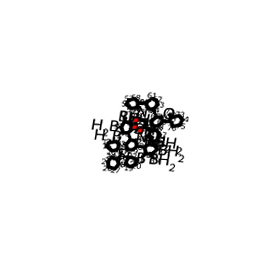 Bc1c(B)c(B)c(-c2cc(S(c3ccccc3)(c3ccccc3)c3ccccc3)cc(-c3c(B)c(B)c(B)c(B)c3B)c2-n2c3ccccc3c3cc(-n4c5ccccc5c5cccc(-c6cccc7c6oc6ccccc67)c54)ccc32)c(B)c1B